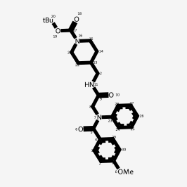 COc1ccc(C(=O)N(CC(=O)NCC2CCN(C(=O)OC(C)(C)C)CC2)c2ccccc2)cc1